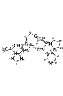 CC(C)n1ncnc1-c1cn2c(n1)-c1cnc(N3CCC[C@@H]3c3ccncc3)cc1OCC2